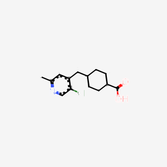 Cc1cc(CC2CCC(C(=O)O)CC2)c(Cl)cn1